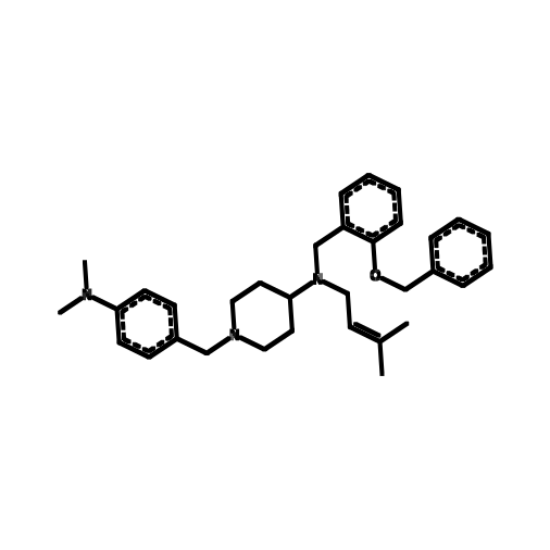 CC(C)=CCN(Cc1ccccc1OCc1ccccc1)C1CCN(Cc2ccc(N(C)C)cc2)CC1